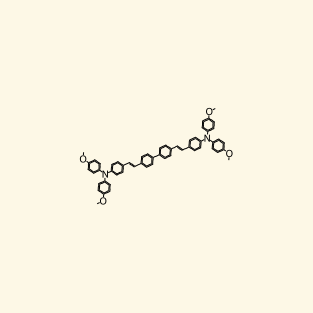 COc1ccc(N(c2ccc(C=Cc3ccc(-c4ccc(C=Cc5ccc(N(c6ccc(OC)cc6)c6ccc(OC)cc6)cc5)cc4)cc3)cc2)c2ccc(OC)cc2)cc1